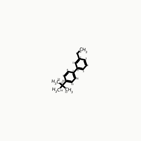 CCc1[c]ccc(-c2ccc(C(C)(C)C)cc2)c1